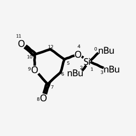 CCCC[Si](CCCC)(CCCC)OC1CC(=O)OC(=O)C1